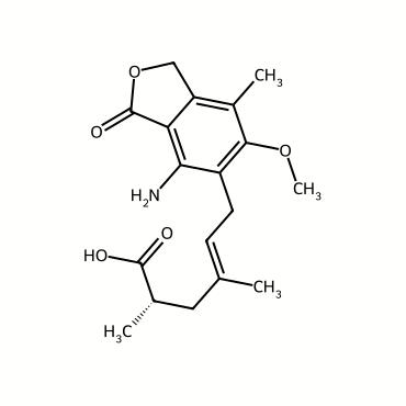 COc1c(C)c2c(c(N)c1C/C=C(\C)C[C@H](C)C(=O)O)C(=O)OC2